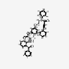 O=C(c1ccccc1)c1ccccc1N[C@@H](Cc1ccc(OCCN(C(=O)C#Cc2ccccc2)c2ccccc2)cc1)C(=O)O